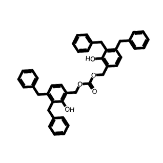 O=C(OCc1ccc(Cc2ccccc2)c(Cc2ccccc2)c1O)OCc1ccc(Cc2ccccc2)c(Cc2ccccc2)c1O